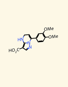 COc1ccc(C2=CCNc3c(C(=O)O)cnn32)cc1OC